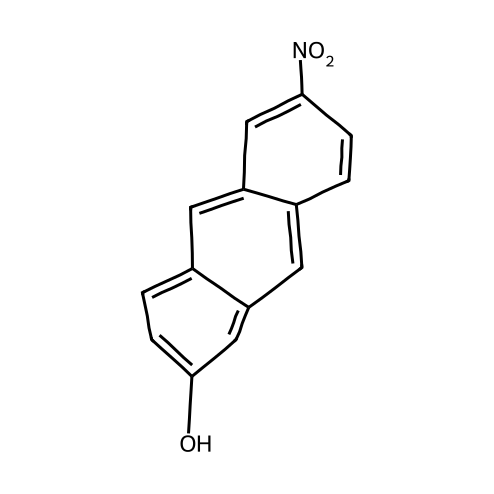 O=[N+]([O-])c1ccc2cc3cc(O)ccc3cc2c1